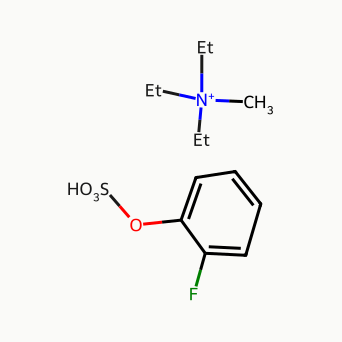 CC[N+](C)(CC)CC.O=S(=O)(O)Oc1ccccc1F